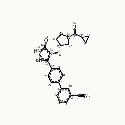 N#Cc1cccc(-c2ccc(-c3n[nH]c(=O)n3C[C@@H]3CCN(C(=O)C4CC4)C3)cc2)c1